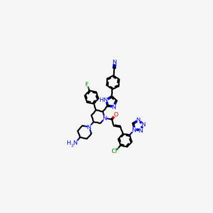 N#Cc1ccc(-c2cnc(C3C(c4ccc(F)cc4)CC(N4CCC(N)CC4)CN3C(=O)C=Cc3cc(Cl)ccc3-n3cnnn3)[nH]2)cc1